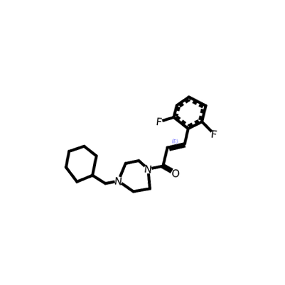 O=C(/C=C/c1c(F)cccc1F)N1CCN(CC2CCCCC2)CC1